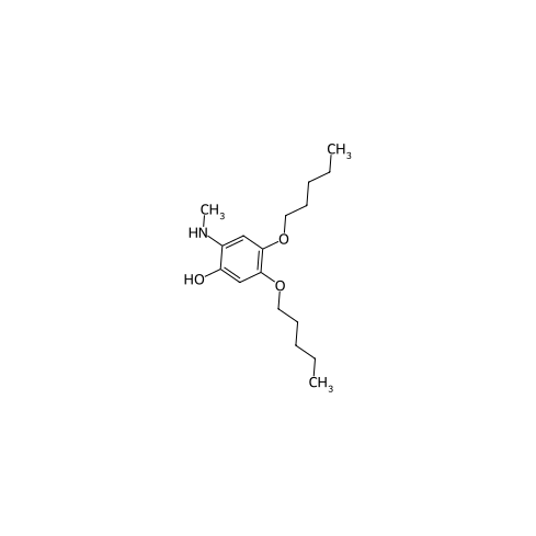 CCCCCOc1cc(O)c(NC)cc1OCCCCC